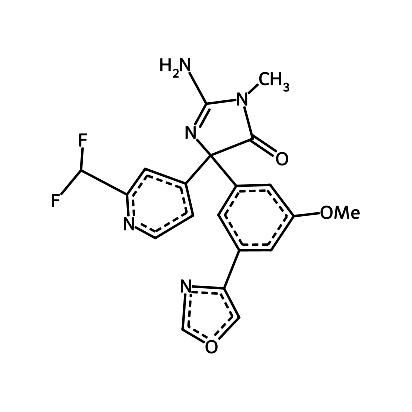 COc1cc(-c2cocn2)cc(C2(c3ccnc(C(F)F)c3)N=C(N)N(C)C2=O)c1